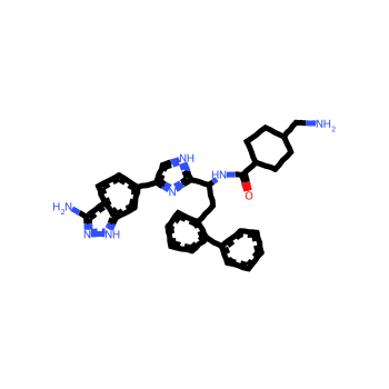 NCC1CCC(C(=O)NC(Cc2ccccc2-c2ccccc2)c2nc(-c3ccc4c(N)n[nH]c4c3)c[nH]2)CC1